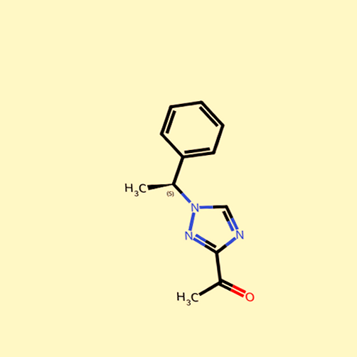 CC(=O)c1ncn([C@@H](C)c2ccccc2)n1